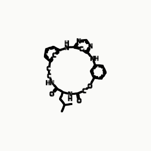 CC(C)CC1NC(=O)COc2cccc(c2)Nc2cc(ncn2)Nc2cccc(c2)CCNC1=O